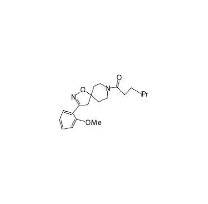 COc1ccccc1C1=NOC2(CCN(C(=O)CCC(C)C)CC2)C1